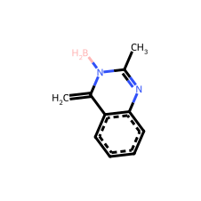 BN1C(=C)c2ccccc2N=C1C